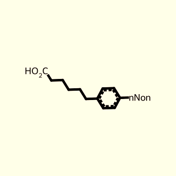 CCCCCCCCCc1ccc(CCCCCC(=O)O)cc1